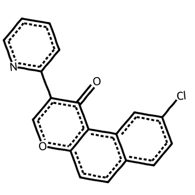 O=c1c(-c2ccccn2)coc2ccc3ccc(Cl)cc3c12